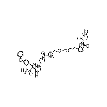 NC(=O)c1c(-c2ccc(Oc3ccccc3)cc2)nn2c1NCC[C@H]2C1CCN(C(=O)c2cn(CCOCCOCCCc3cccc4c3CN(C3CCC(=O)NC3=O)C4=O)nn2)CC1